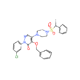 CC(c1ccccc1)S(=O)(=O)N1CCN(c2cnn(-c3cccc(Cl)c3)c(=O)c2OCc2ccccc2)CC1